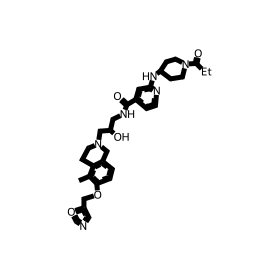 CCC(=O)N1CCC(Nc2cc(C(=O)NCC(O)CN3CCc4c(ccc(OCc5cnco5)c4C)C3)ccn2)CC1